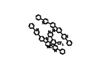 N#Cc1cc(-c2cc(-n3c4cc(-c5ccc(-c6ccccc6)nc5)ccc4c4ccc(-c5ccc(-c6ccccc6)nc5)cc43)ncc2-n2c3cc(-c4ccc(-c5ccccc5)nc4)ccc3c3ccc(-c4ccc(-c5ccccc5)nc4)cc32)cc(C(F)(F)F)c1